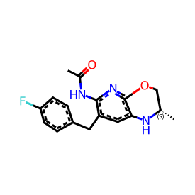 CC(=O)Nc1nc2c(cc1Cc1ccc(F)cc1)N[C@@H](C)CO2